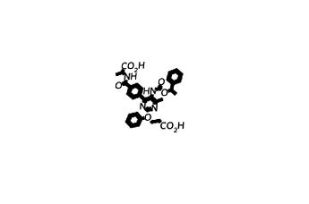 Cc1ncnc(-c2ccc(C(=O)NC(C)C(=O)O)cc2)c1NC(=O)OC(C)c1ccccc1.O=C(O)CCOc1ccccc1